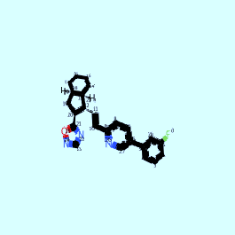 Fc1cccc(-c2ccc(C=C[C@H]3[C@@H]4CCCC[C@@H]4C[C@@H]3c3ncno3)nc2)c1